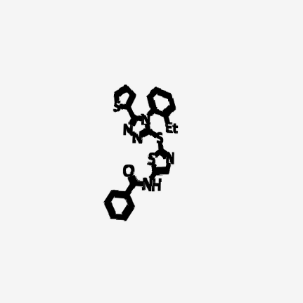 CCc1ccccc1-n1c(Sc2ncc(NC(=O)c3ccccc3)s2)nnc1-c1cccs1